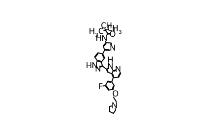 CC(C)(C)C(=O)Nc1cncc(-c2ccc3[nH]nc(-c4cc5c(-c6cc(F)cc(OCCN7CCCC7)c6)ccnc5[nH]4)c3c2)c1